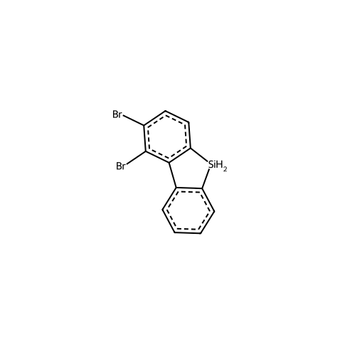 Brc1ccc2c(c1Br)-c1ccccc1[SiH2]2